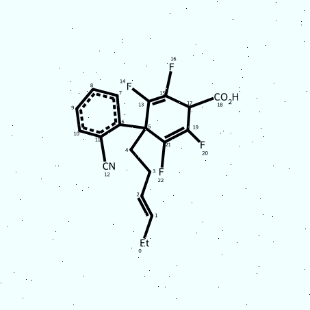 CC/C=C/CCC1(c2ccccc2C#N)C(F)=C(F)C(C(=O)O)C(F)=C1F